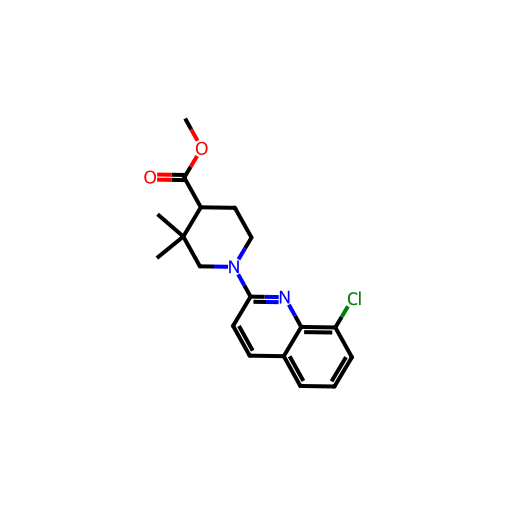 COC(=O)C1CCN(c2ccc3cccc(Cl)c3n2)CC1(C)C